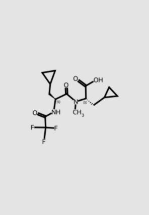 CN(C(=O)[C@H](CC1CC1)NC(=O)C(F)(F)F)[C@@H](CC1CC1)C(=O)O